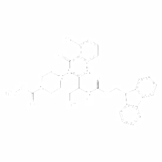 CC(C)CC(NC(=O)OCC1c2ccccc2-c2ccccc21)c1nc2cccc(Cl)c2c(=O)n1N1CCN(C(=O)OC(C)(C)C)CC1